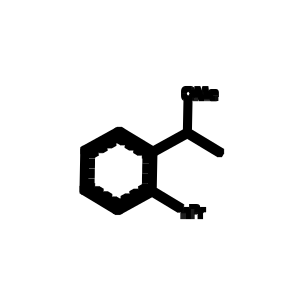 CCCc1ccccc1C(C)OC